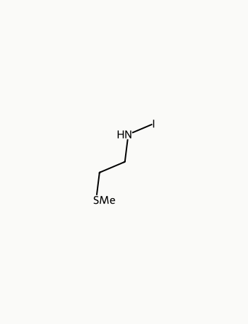 CSCCNI